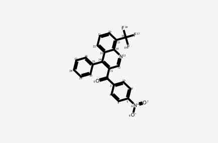 O=C(c1ccc([N+](=O)[O-])cc1)c1cnc2c(C(F)(F)F)cccc2c1-c1ccccc1